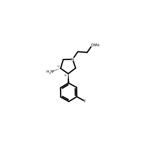 COCCN1C[C@@H](N)[C@H](c2cccc(F)c2)C1